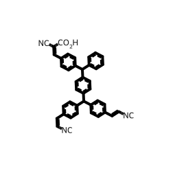 [C-]#[N+]/C=C\c1ccc(C(c2ccc(/C=C/[N+]#[C-])cc2)c2ccc(C(c3ccccc3)c3ccc(/C=C(/C#N)C(=O)O)cc3)cc2)cc1